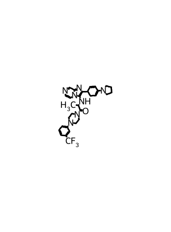 CC(Nc1c(C2C=CC(N3CCCC3)=CC2)nc2cnccn12)C(=O)N1CCN(c2cccc(C(F)(F)F)c2)CC1